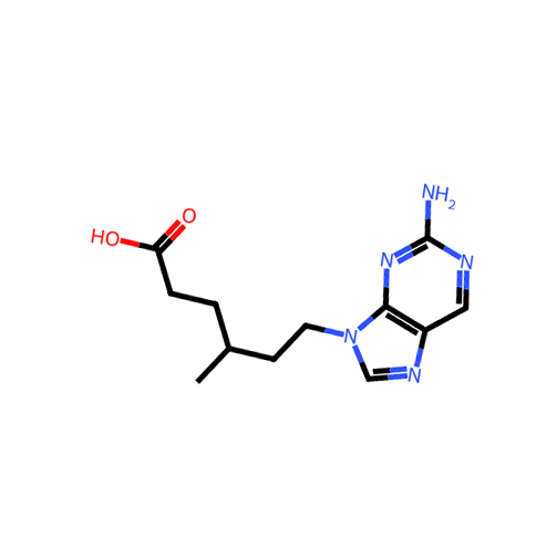 CC(CCC(=O)O)CCn1cnc2cnc(N)nc21